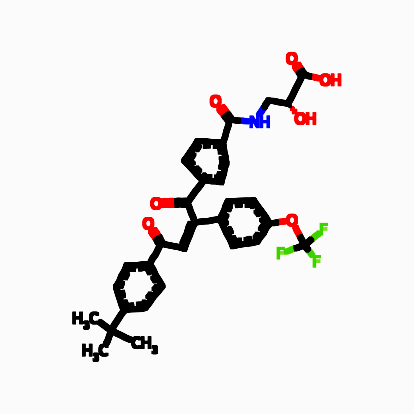 CC(C)(C)c1ccc(C(=O)C=C(C(=O)c2ccc(C(=O)NC[C@@H](O)C(=O)O)cc2)c2ccc(OC(F)(F)F)cc2)cc1